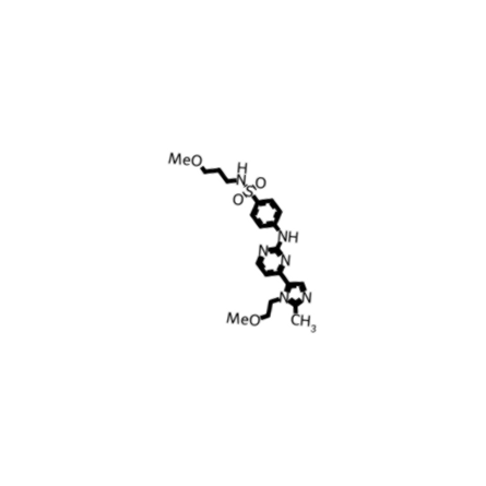 COCCCNS(=O)(=O)c1ccc(Nc2nccc(-c3cnc(C)n3CCOC)n2)cc1